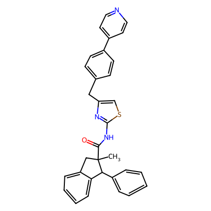 CC1(C(=O)Nc2nc(Cc3ccc(-c4ccncc4)cc3)cs2)Cc2ccccc2C1c1ccccc1